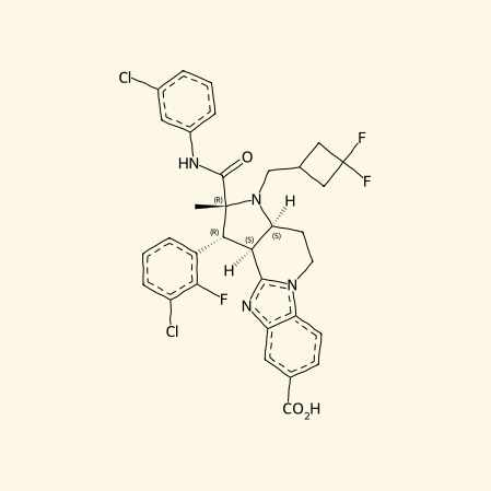 C[C@]1(C(=O)Nc2cccc(Cl)c2)[C@@H](c2cccc(Cl)c2F)[C@@H]2c3nc4cc(C(=O)O)ccc4n3CC[C@@H]2N1CC1CC(F)(F)C1